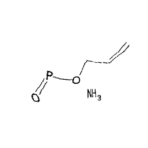 C=CCOP=O.N